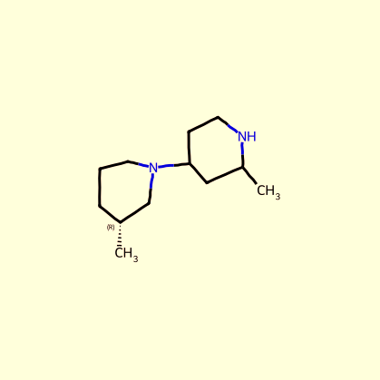 CC1CC(N2CCC[C@@H](C)C2)CCN1